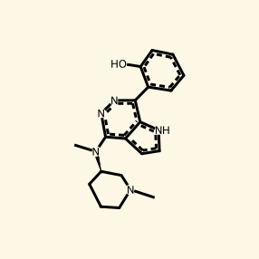 CN1CCC[C@@H](N(C)c2nnc(-c3ccccc3O)c3[nH]ccc23)C1